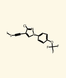 FC(F)(F)Oc1ccc(-n2cc(C#CSI)c(Cl)n2)cc1